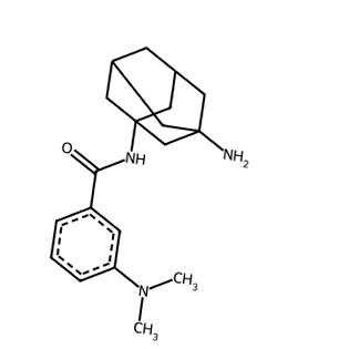 CN(C)c1cccc(C(=O)NC23CC4CC(CC(N)(C4)C2)C3)c1